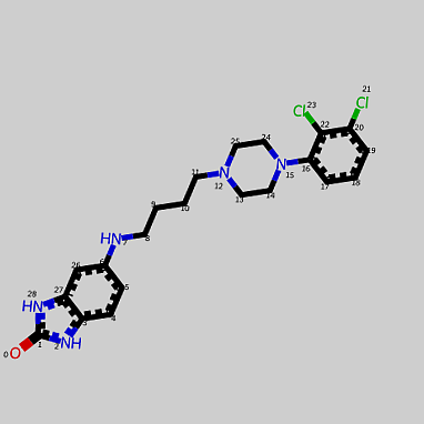 O=c1[nH]c2ccc(NCCCCN3CCN(c4cccc(Cl)c4Cl)CC3)cc2[nH]1